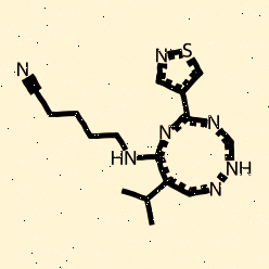 CC(C)c1cn[nH]cnc(-c2cnsc2)nc1NCCCCC#N